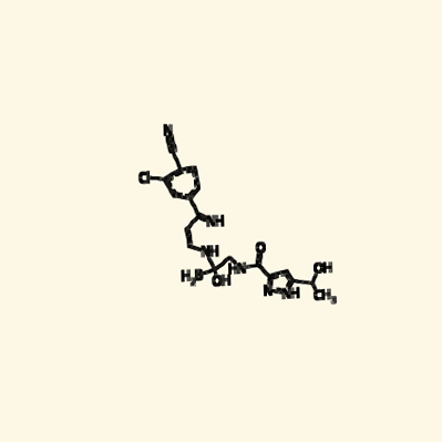 BC(O)(CNC(=O)c1cc(C(C)O)[nH]n1)N/C=C\C(=N)c1ccc(C#N)c(Cl)c1